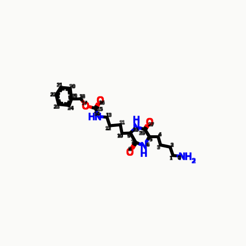 NCCCCC1NC(=O)C(CCCCNC(=O)OCc2ccccc2)NC1=O